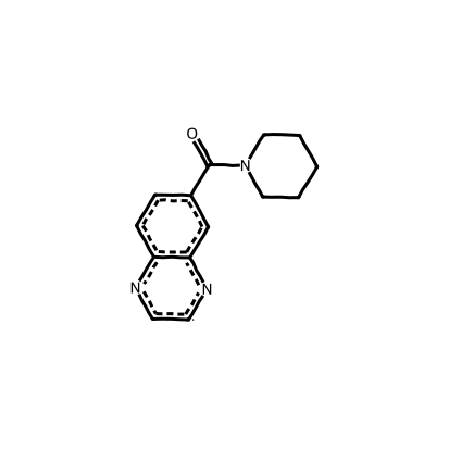 O=C(c1ccc2nc[c]nc2c1)N1CCCCC1